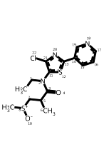 CCN(C(=O)C(C)C[S+](C)[O-])c1sc(-c2cccnc2)nc1Cl